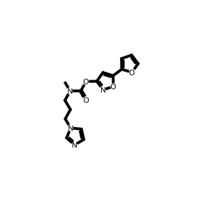 CN(CCCn1ccnc1)C(=O)Oc1cc(-c2ccco2)on1